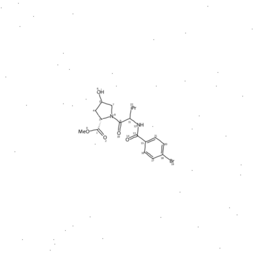 COC(=O)[C@@H]1CC(O)CN1C(=O)C(NC(=O)c1ccc(Br)cc1)C(C)C